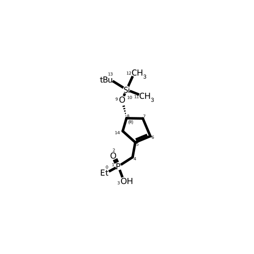 CCP(=O)(O)CC1=CC[C@@H](O[Si](C)(C)C(C)(C)C)C1